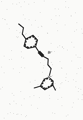 CCCc1ccc(C#CCCC[n+]2cc(C)cc(C)c2)cc1.[Br-]